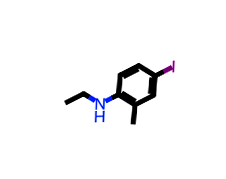 CCNc1ccc(I)cc1C